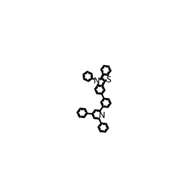 c1ccc(-c2cc(-c3ccccc3)nc(-c3cccc(-c4ccc5c(c4)c4sc6ccccc6c4n5-c4ccccc4)c3)c2)cc1